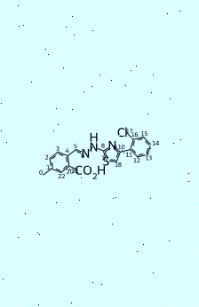 Cc1ccc(/C=N/Nc2nc(-c3ccccc3Cl)cs2)c(C(=O)O)c1